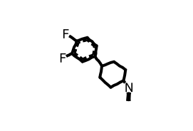 C=NC1CCC(c2ccc(F)c(F)c2)CC1